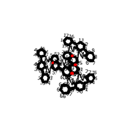 c1ccc(-n2c3ccccc3c3ccc4c5ccccc5n(-c5ccc(-n6c7ccc(-n8c9ccccc9c9ccc%10c%11ccccc%11n(-c%11ccccc%11)c%10c98)cc7c7cc(-n8c9ccccc9c9ccc%10c%11ccccc%11n(-c%11ccccc%11)c%10c98)ccc76)cc5)c4c32)cc1